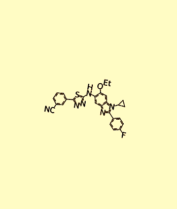 CCOc1cc2c(cc1Nc1nnc(-c3cccc(C#N)c3)s1)nc(-c1ccc(F)cc1)n2C1CC1